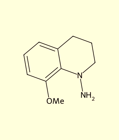 COc1cccc2c1N(N)CCC2